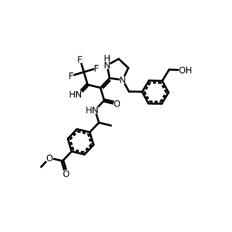 COC(=O)c1ccc(C(C)NC(=O)/C(C(=N)C(F)(F)F)=C2/NCCN2Cc2cccc(CO)c2)cc1